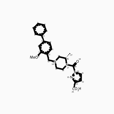 COc1cc(-c2ccccc2)ccc1CN1CCN(C(=O)n2ccc(C(=O)O)n2)[C@@H](C)C1